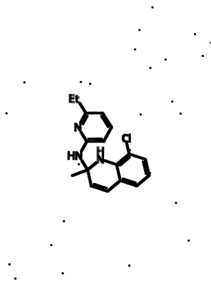 CCc1cccc(NC2(C)C=Cc3cccc(Cl)c3N2)n1